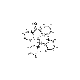 Brc1c2ccccc2c(N(c2ccccc2)c2ccccn2)c2ccccc12